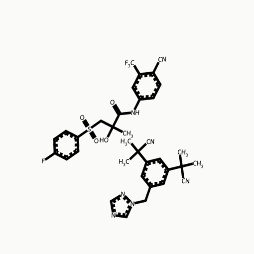 CC(C)(C#N)c1cc(Cn2cncn2)cc(C(C)(C)C#N)c1.CC(O)(CS(=O)(=O)c1ccc(F)cc1)C(=O)Nc1ccc(C#N)c(C(F)(F)F)c1